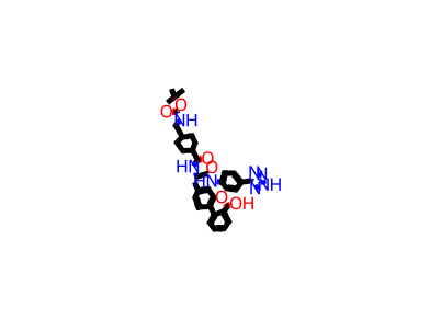 CC(C)(C)OC(=O)NCC1CCC(C(=O)N[C@@H](Cc2ccc(-c3ccccc3C(=O)O)cc2)C(=O)Nc2ccc(-c3nn[nH]n3)cc2)CC1